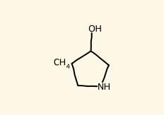 C.OC1CCNC1